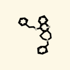 c1ccc(CCOc2c3c(nc4ccccc24)CCN(Cc2ccccc2)CC3)cc1